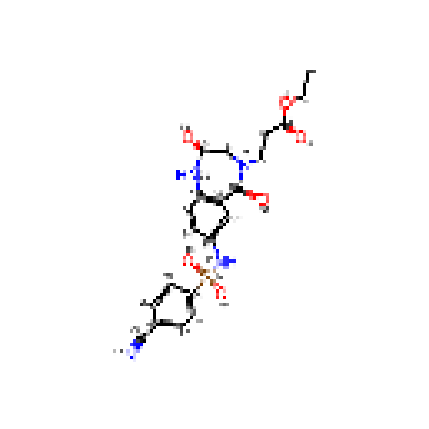 CCOC(=O)CCN1CC(=O)Nc2ccc(NS(=O)(=O)c3ccc(C#N)cc3)cc2C1=O